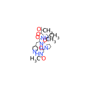 CC(=O)NCC(=O)N1CCC[C@H]1C(=O)N[C@@H](Cc1ccncc1)C(=O)N[C@@H](CC(C)C)C(=O)[C@@]1(C)CO1